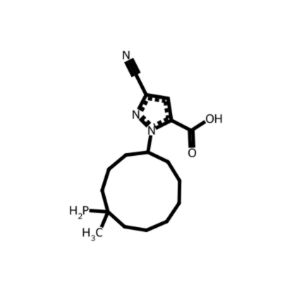 CC1(P)CCCCCCC(n2nc(C#N)cc2C(=O)O)CCC1